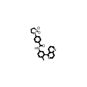 Cc1ccc(NC(=O)c2ccc(N3CCCS3(=O)=O)cc2)cc1-c1nccc2ncccc12